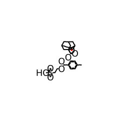 Cc1ccc(C(=O)OCCS(=O)(=O)O)c(OC(=O)C23CC4CC(C2)C(=O)C(C4)C3)c1